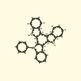 c1ccc(-n2c3ccccc3c3c4oc5ccccc5c4c4c5ccccc5oc4c32)cc1